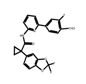 O=Cc1ccc(-c2cccc(NC(=O)C3(c4ccc5c(c4)OC(F)(F)O5)CC3)n2)cc1F